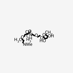 CNCCC(C)OCCC(C)(C)C(=O)NCCOCCO[C@@H]1O[C@@H](C)[C@H](O)C[C@H]1O